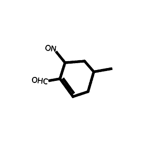 CC1CC=C(C=O)C(N=O)C1